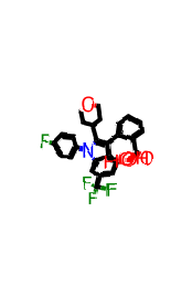 O=C(O)c1ccccc1-c1c(C2CCOCC2)n(-c2ccc(F)cc2)c2cc(C(F)(F)F)cc(O)c12